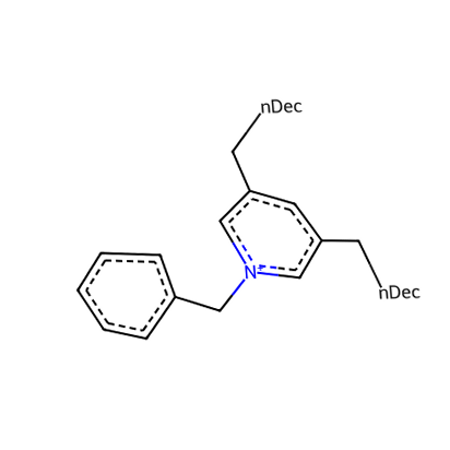 CCCCCCCCCCCc1cc(CCCCCCCCCCC)c[n+](Cc2ccccc2)c1